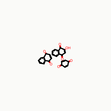 O=C1C=C(O)C(=O)c2ccccc21.O=C1C=CC(=O)C=C1.O=C1C=CC(=O)c2ccccc21